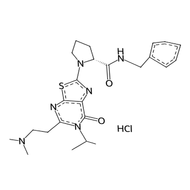 CC(C)n1c(CCN(C)C)nc2sc(N3CCC[C@@H]3C(=O)NCc3ccccc3)nc2c1=O.Cl